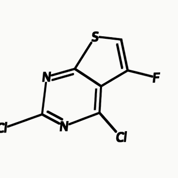 Fc1csc2nc(Cl)nc(Cl)c12